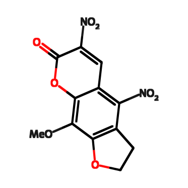 COc1c2c(c([N+](=O)[O-])c3cc([N+](=O)[O-])c(=O)oc13)CCO2